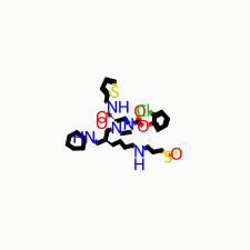 O=[S+]CCCNCCCC[C@@H](CNC1CCCCC1)C(=O)N1CCN(C(=O)Oc2ccccc2Cl)C[C@H]1C(=O)NCc1cccs1